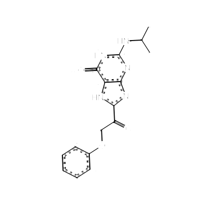 CC(C)Nc1nc2nc(C(=O)COc3ccccc3)[nH]c2c(=O)[nH]1